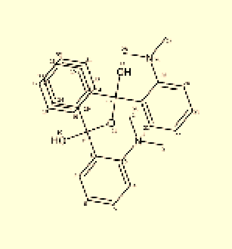 CN(C)c1ccccc1C(O)(OC(O)(c1ccccc1)c1ccccc1N(C)C)c1ccccc1